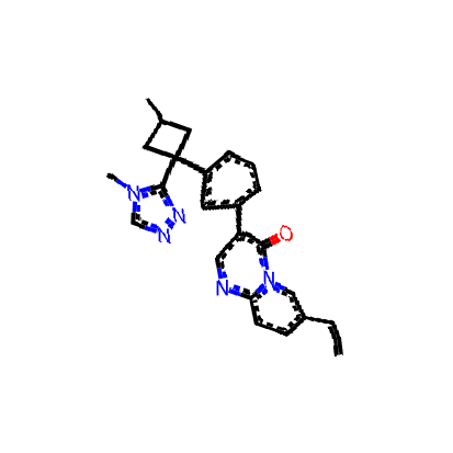 C=Cc1ccc2ncc(-c3cccc(C4(c5nncn5C)CC(C)C4)c3)c(=O)n2c1